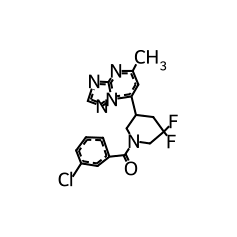 Cc1cc(C2CN(C(=O)c3cccc(Cl)c3)CC(F)(F)C2)n2ncnc2n1